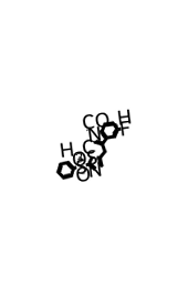 Cc1c(Cc2cnc(S(=O)(=O)c3ccccc3)s2)c2cc(F)ccc2n1CC(=O)O